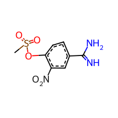 CS(=O)(=O)Oc1ccc(C(=N)N)cc1[N+](=O)[O-]